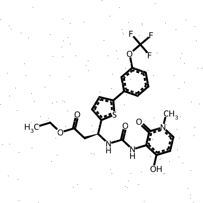 CCOC(=O)C[C@H](NC(=O)Nc1c(O)ccn(C)c1=O)c1ccc(-c2cccc(OC(F)(F)F)c2)s1